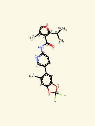 Cc1cc2c(cc1-c1ccc(NC(=O)c3c(C)coc3C(C)C)nc1)OC(F)(F)O2